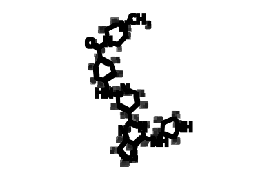 CN1CCN(C(=O)c2ccc(Nc3cc(-c4nc(NC5CCNC5)c5sccc5n4)ccn3)cc2)CC1